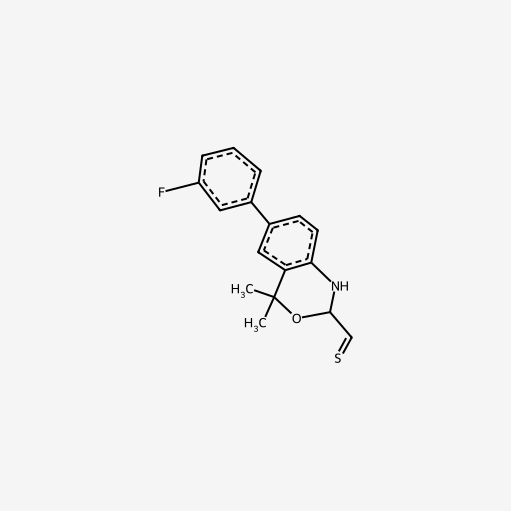 CC1(C)OC(C=S)Nc2ccc(-c3cccc(F)c3)cc21